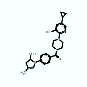 Cc1cc(C2CC2)cnc1N1CCN(C(=O)c2ccc(N3CC(C)CC3C=O)cc2)CC1